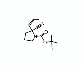 C/C=C\C1(C#N)CCCN1C(=O)OC(C)(C)C